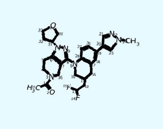 CC(=O)N1CCc2c(c(N3CC(CC(F)F)Cc4cc(-c5cnn(C)c5)ccc43)nn2[C@H]2CCOC2)C1